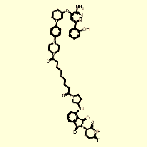 Nc1nnc(-c2ccccc2O)cc1OC1CCCN(c2ccc(N3CCN(C(=O)CCCCCCCC(=O)N4CCC(Nc5cccc6c5C(=O)N(C5CCC(=O)NC5=O)C6=O)C4)CC3)cc2)C1